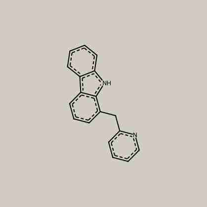 c1ccc(Cc2cccc3c2[nH]c2ccccc23)nc1